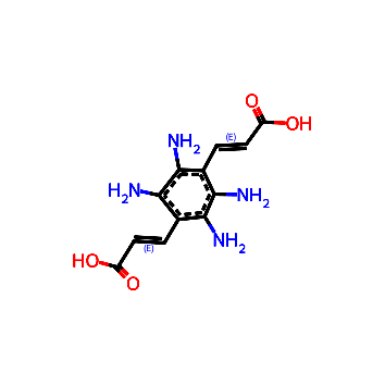 Nc1c(N)c(/C=C/C(=O)O)c(N)c(N)c1/C=C/C(=O)O